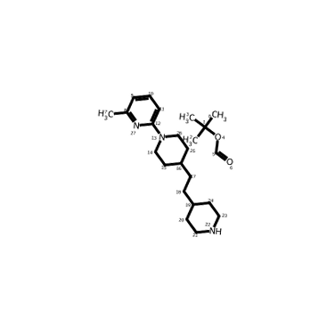 CC(C)(C)OC=O.Cc1cccc(N2CCC(CCC3CCNCC3)CC2)n1